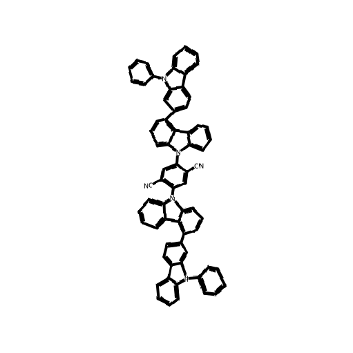 N#Cc1cc(-n2c3ccccc3c3c(-c4ccc5c6ccccc6n(-c6ccccc6)c5c4)cccc32)c(C#N)cc1-n1c2ccccc2c2c(-c3ccc4c5ccccc5n(-c5ccccc5)c4c3)cccc21